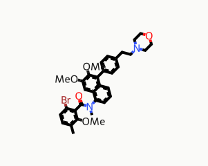 COc1cc2c(N(C)C(=O)c3c(Br)ccc(C)c3OC)cccc2c(-c2ccc(CCN3CCOCC3)cc2)c1OC